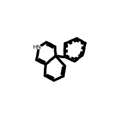 C1=CC2=CNC=CC2(c2ccccc2)C=C1